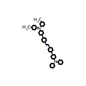 Cc1ccc(N(c2ccc(-c3ccc(/C=C/c4ccc(-c5ccc(N(c6ccccc6)c6ccccc6)cc5)cc4)cc3)cc2)c2cccc(C)c2)cc1